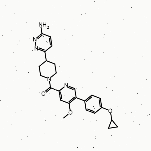 COc1cc(C(=O)N2CCC(c3ccc(N)nn3)CC2)ncc1-c1ccc(OC2CC2)cc1